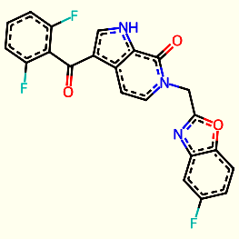 O=C(c1c(F)cccc1F)c1c[nH]c2c(=O)n(Cc3nc4cc(F)ccc4o3)ccc12